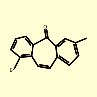 Cc1ccc2ccc3c(Br)cccc3c(=O)c2c1